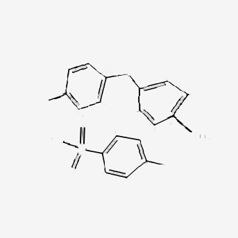 Cc1ccc(S(=O)(=O)[O-])cc1.Cc1ccc([I+]c2ccc(C)cc2)cc1